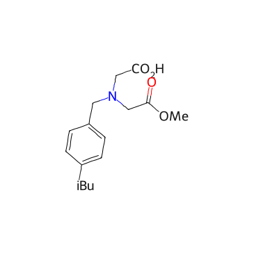 CCC(C)c1ccc(CN(CC(=O)O)CC(=O)OC)cc1